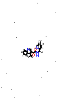 C[C@@H](NC(=O)C1OC(C)(C)c2c1cnc1ccccc21)c1ccc(C(F)(F)F)cn1